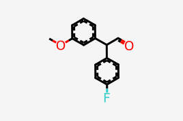 COc1cccc(C(C=O)c2ccc(F)cc2)c1